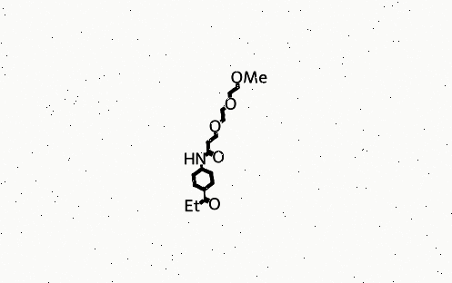 CCC(=O)[C@H]1CC[C@@H](NC(=O)CCOCCOCCOC)CC1